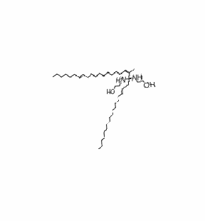 CCCCCCCCCCCCCCCCCCC(C)C(CCCCCCCCCCCCCCCCCC)(NCCO)NCCO